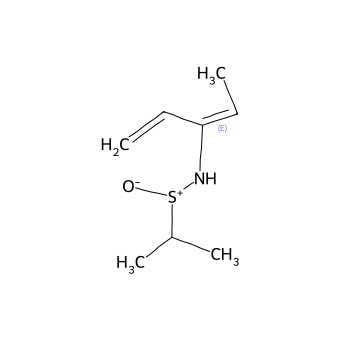 C=C/C(=C\C)N[S+]([O-])C(C)C